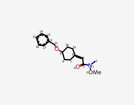 CON(C)C(=O)C=C1CCC(OCc2ccccc2)CC1